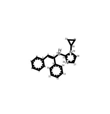 B(C(=Cc1ccccc1)c1ccccc1)c1nccn1C1CC1